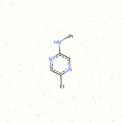 CCc1cnc(NC(C)C)cn1